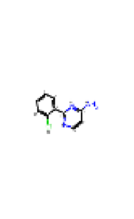 Nc1ccnc(-c2ccccc2Cl)n1